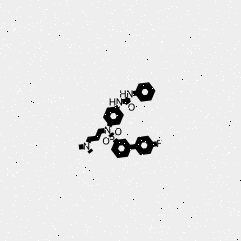 CN(C)CCCN(c1ccc(NC(=O)Nc2ccccc2)cc1)S(=O)(=O)c1cccc(-c2ccc(F)cc2)c1